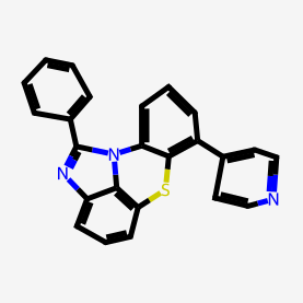 c1ccc(-c2nc3cccc4c3n2-c2cccc(-c3ccncc3)c2S4)cc1